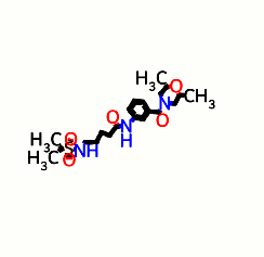 CC1CN(C(=O)c2cccc(NC(=O)CCCCNS(=O)(=O)C(C)C)c2)CC(C)O1